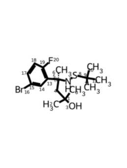 CC(C)(O)C[C@](C)(NSC(C)(C)C)c1cc(Br)ccc1F